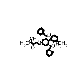 Cc1cccc(C2[C@@H](C(=O)c3ccccc3)CN(CCC(=O)N(C)C)C[C@@H]2C(=O)c2ccccc2)c1C